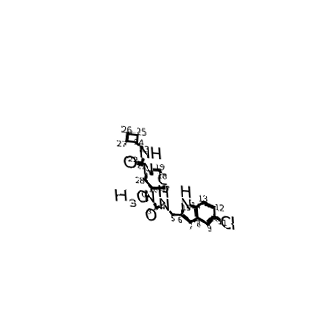 CN(C(=O)NCc1cc2cc(Cl)ccc2[nH]1)[C@@H]1CCCN(C(=O)NC2CCC2)C1